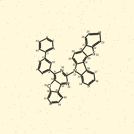 c1ccc(-c2cccc(-c3nc(-n4c5ccccc5c5c6sc7ccccc7c6ccc54)nc4c3oc3ccccc34)c2)cc1